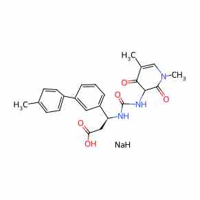 CC1=CN(C)C(=O)C(NC(=O)N[C@@H](CC(=O)O)c2cccc(-c3ccc(C)cc3)c2)C1=O.[NaH]